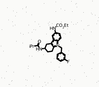 CCOC(=O)Nc1ccc2c(c1)c1c(n2Cc2cccc(F)c2)CCC(NC(=O)C(C)C)C1